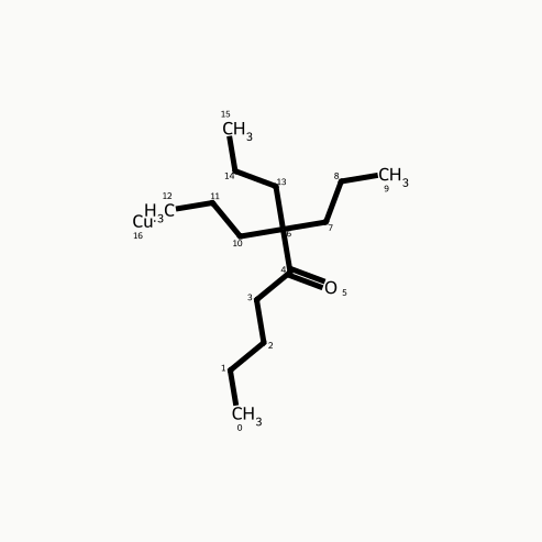 CCCCC(=O)C(CCC)(CCC)CCC.[Cu]